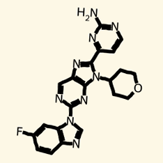 Nc1nccc(-c2nc3cnc(-n4cnc5ccc(F)cc54)nc3n2C2CCOCC2)n1